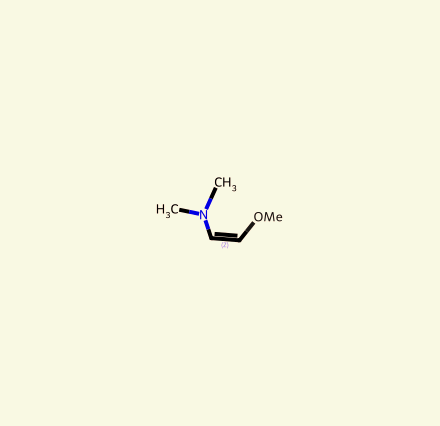 CO/C=C\N(C)C